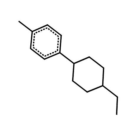 CCC1CCC(c2ccc(C)cc2)CC1